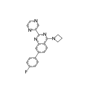 Fc1ccc(-c2ccc3c(N4CCC4)nc(-c4cnccn4)nc3c2)cc1